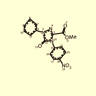 COC(=O)c1nn(-c2ccccc2)c(=O)n1-c1ccc([N+](=O)[O-])cc1